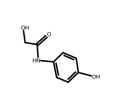 O=C(CO)Nc1ccc(O)cc1